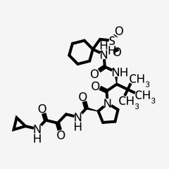 CC(C)(C)[C@H](NC(=O)NC1(C[SH](=O)=O)CCCCC1)C(=O)N1CCC[C@H]1C(=O)NCC(=O)C(=O)NC1CC1